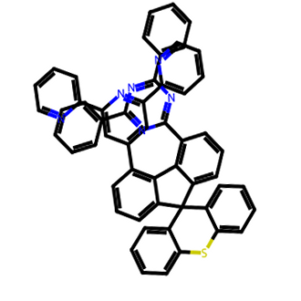 c1ccc(-c2nc(-c3ccccc3)nc(-c3cccc4c3-c3c(-c5cc(-c6ccccn6)nc(-c6ccccn6)c5)cccc3C43c4ccccc4Sc4ccccc43)n2)cc1